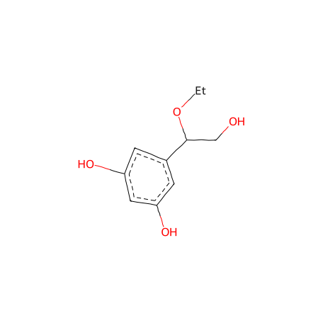 CCOC(CO)c1cc(O)cc(O)c1